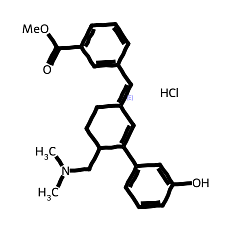 COC(=O)c1cccc(/C=C2/C=C(c3cccc(O)c3)C(CN(C)C)CC2)c1.Cl